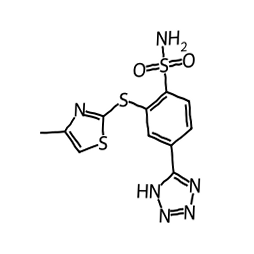 Cc1csc(Sc2cc(-c3nnn[nH]3)ccc2S(N)(=O)=O)n1